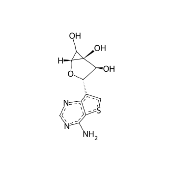 Nc1ncnc2c([C@@H]3O[C@@H]4C(O)[C@]4(O)[C@H]3O)csc12